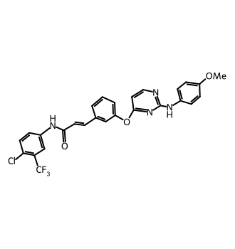 COc1ccc(Nc2nccc(Oc3cccc(C=CC(=O)Nc4ccc(Cl)c(C(F)(F)F)c4)c3)n2)cc1